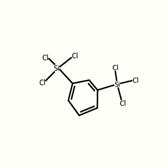 Cl[Si](Cl)(Cl)c1cccc([Si](Cl)(Cl)Cl)c1